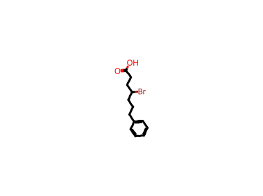 O=C(O)CCC(Br)CCCc1ccccc1